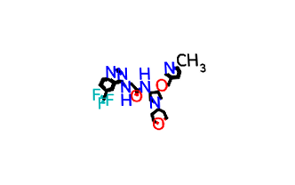 Cc1ccc(CO[C@H]2CN(C3CCOCC3)CC2NC(=O)CNc2ncnc3ccc(C(F)(F)F)cc23)cn1